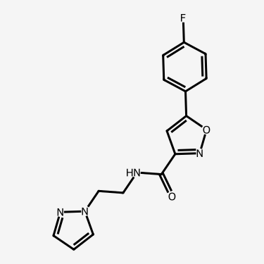 O=C(NCCn1cccn1)c1cc(-c2ccc(F)cc2)on1